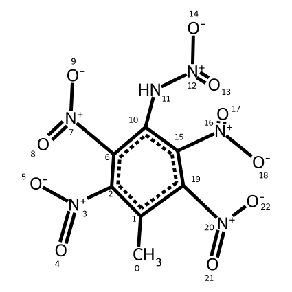 Cc1c([N+](=O)[O-])c([N+](=O)[O-])c(N[N+](=O)[O-])c([N+](=O)[O-])c1[N+](=O)[O-]